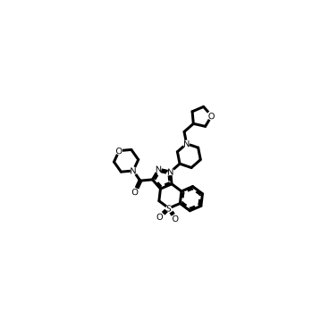 O=C(c1nn(C2CCCN(CC3CCOC3)C2)c2c1CS(=O)(=O)c1ccccc1-2)N1CCOCC1